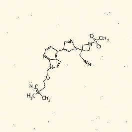 C[Si](C)(C)CCOCn1ccc2c(-c3cnn(C4(CC#N)CN(S(C)(=O)=O)C4)c3)ccnc21